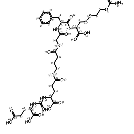 NC(=O)OCCSSC[C@H](NC(=O)[C@H](Cc1ccccc1)NC(=O)CNC(=O)CCCNC(=O)CCC(NC(=O)N[C@@H](CCC(=O)O)C(=O)O)C(=O)O)C(=O)O